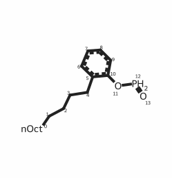 CCCCCCCCCCCCc1ccccc1O[PH2]=O